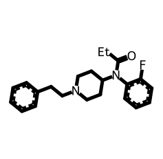 CCC(=O)N(c1ccccc1F)C1CCN(CCc2ccccc2)CC1